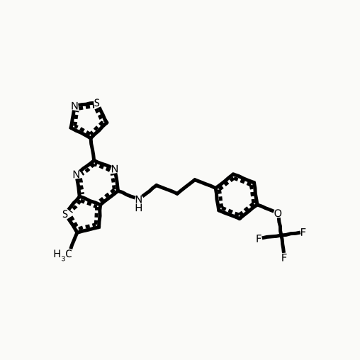 Cc1cc2c(NCCCc3ccc(OC(F)(F)F)cc3)nc(-c3cnsc3)nc2s1